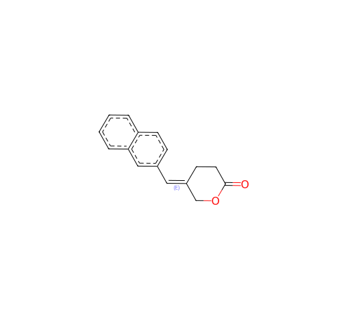 O=C1CC/C(=C\c2ccc3ccccc3c2)CO1